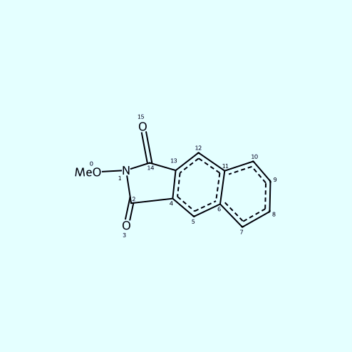 CON1C(=O)c2cc3ccccc3cc2C1=O